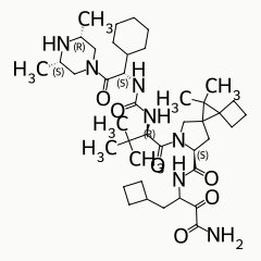 C[C@@H]1CN(C(=O)[C@@H](NC(=O)N[C@@H](C(=O)N2CC3(C[C@H]2C(=O)NC(CC2CCC2)C(=O)C(N)=O)C(C)(C)C32CCC2)C(C)(C)C)C2CCCCC2)C[C@H](C)N1